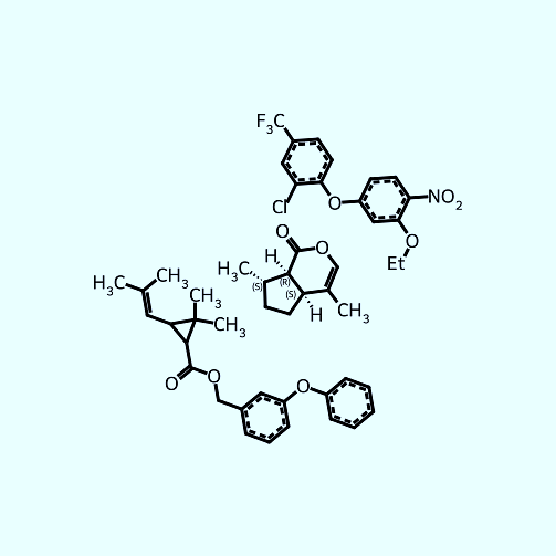 CC(C)=CC1C(C(=O)OCc2cccc(Oc3ccccc3)c2)C1(C)C.CC1=COC(=O)[C@H]2[C@@H]1CC[C@@H]2C.CCOc1cc(Oc2ccc(C(F)(F)F)cc2Cl)ccc1[N+](=O)[O-]